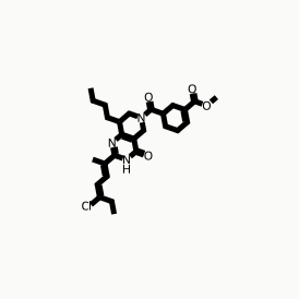 CCCCC1CN(C(=O)C2CCC=C(C(=O)OC)C2)Cc2c1nc(/C(C)=C/C=C(/Cl)CC)[nH]c2=O